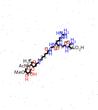 COC1COC(OC2C=C(/C=N/CCCCCC(=O)NCC(=O)NC(CCCNC(=N)N)C(=O)NCC(=O)NC(CC(=O)O)C(N)=O)OC(C)C2NC(C)=O)C(O)C1O